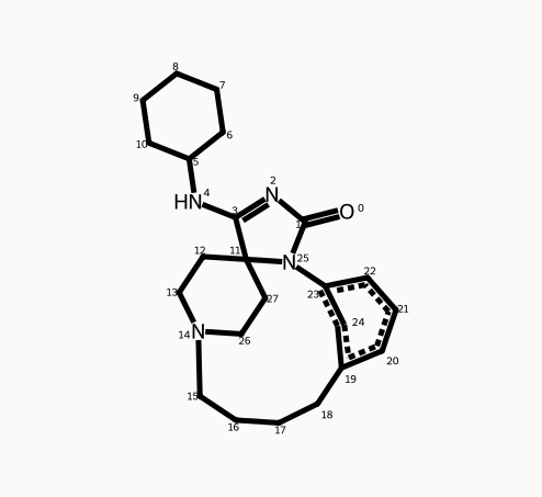 O=C1N=C(NC2CCCCC2)C23CCN(CCCCc4cccc(c4)N12)CC3